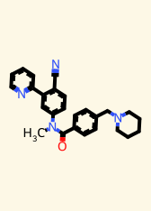 CN(C(=O)c1ccc(CN2CCCCC2)cc1)c1ccc(C#N)c(-c2ccccn2)c1